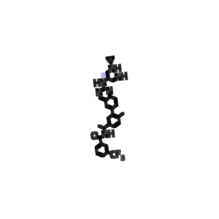 Cc1ccc(C(C)NC(=O)c2cccc(C(F)(F)F)c2)cc1-c1ccc2nc(N/C(C=N)=C/NC3CC3)ncc2c1